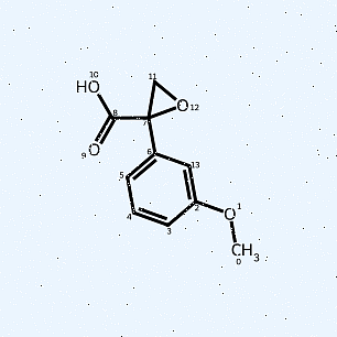 COc1cccc(C2(C(=O)O)CO2)c1